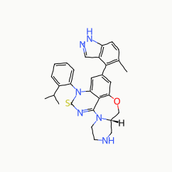 Cc1ccc2[nH]ncc2c1-c1cc2c3c(nc(=S)n(-c4ccccc4C(C)C)c3c1)N1CCNC[C@H]1CO2